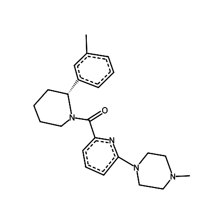 Cc1cccc([C@H]2CCCCN2C(=O)c2cccc(N3CCN(C)CC3)n2)c1